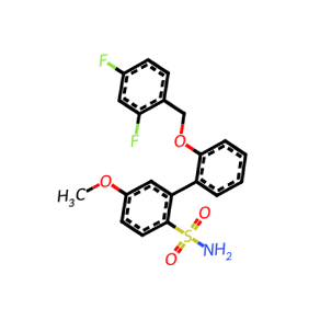 COc1ccc(S(N)(=O)=O)c(-c2ccccc2OCc2ccc(F)cc2F)c1